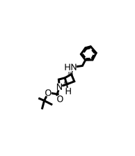 CC(C)(C)OC(=O)N1CC2[C@H](NCc3ccccc3)C[C@@H]21